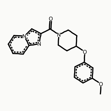 COc1cccc(OC2CCN(C(=O)c3cn4ccccc4n3)CC2)c1